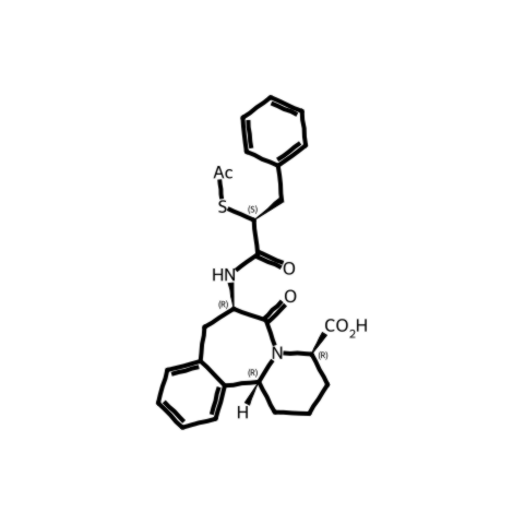 CC(=O)S[C@@H](Cc1ccccc1)C(=O)N[C@@H]1Cc2ccccc2[C@H]2CCC[C@H](C(=O)O)N2C1=O